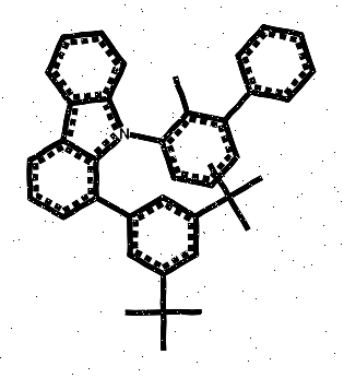 Cc1c(-c2ccccc2)cccc1-n1c2ccccc2c2cccc(-c3cc(C(C)(C)C)cc(C(C)(C)C)c3)c21